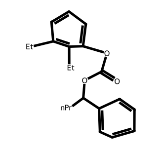 CCCC(OC(=O)Oc1cccc(CC)c1CC)c1ccccc1